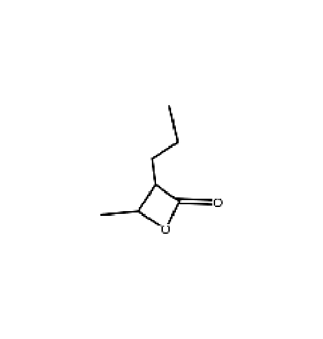 CCCC1C(=O)OC1C